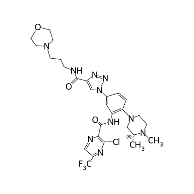 C[C@@H]1CN(c2ccc(-n3cc(C(=O)NCCCN4CCOCC4)nn3)cc2NC(=O)c2ncc(C(F)(F)F)nc2Cl)CCN1C